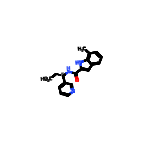 Cc1cccc2cc(C(=O)N[C@@H](CC(=O)O)c3cccnc3)[nH]c12